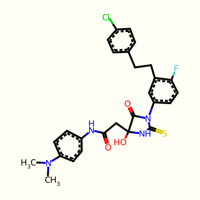 CN(C)c1ccc(NC(=O)CC2(O)NC(=S)N(c3ccc(F)c(CCc4ccc(Cl)cc4)c3)C2=O)cc1